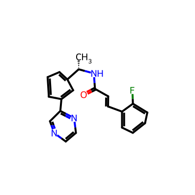 C[C@H](NC(=O)/C=C/c1ccccc1F)c1cccc(-c2cnccn2)c1